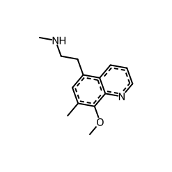 CNCCc1cc(C)c(OC)c2ncccc12